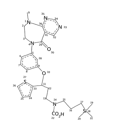 CN1CCN(c2cccc(OC(CCN(CCC[Si](C)(C)C)C(=O)O)c3cccs3)c2)C(=O)c2cncnc21